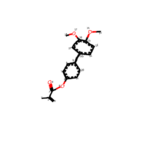 C=C(C)C(=O)Oc1ccc(-c2ccc(OC)c(OC)c2)cc1